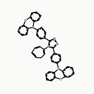 C1=CCC=C(n2c(-c3ccc(N4c5ccccc5Oc5ccccc54)cc3)nnc2-c2ccc(N3c4ccccc4Oc4ccccc43)cc2)C=C1